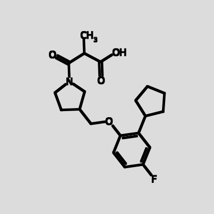 CC(C(=O)O)C(=O)N1CCC(COc2ccc(F)cc2C2CCCC2)C1